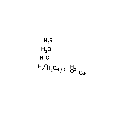 O.O.O.O.O.O.S.[Ca]